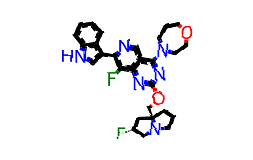 Fc1c(-c2c[nH]c3ccccc23)ncc2c(N3CCCOCC3)nc(OC[C@@]34CCCN3C[C@H](F)C4)nc12